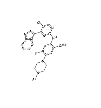 COc1cc(N2CCN(C(C)=O)CC2)c(F)cc1Nc1ncc(Cl)c(-c2cnc3ccccn23)n1